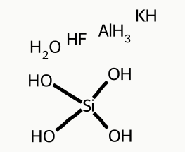 F.O.O[Si](O)(O)O.[AlH3].[KH]